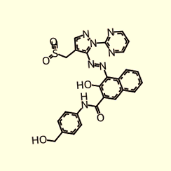 O=C(Nc1ccc(CO)cc1)c1cc2ccccc2c(/N=N/c2c(C[SH](=O)=O)cnn2-c2ncccn2)c1O